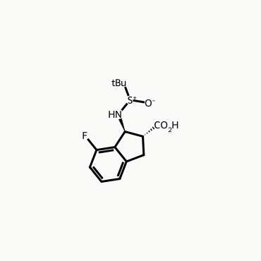 CC(C)(C)[S+]([O-])N[C@@H]1c2c(F)cccc2C[C@H]1C(=O)O